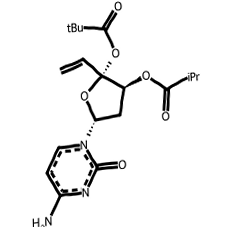 C=C[C@]1(OC(=O)C(C)(C)C)O[C@@H](n2ccc(N)nc2=O)C[C@@H]1OC(=O)C(C)C